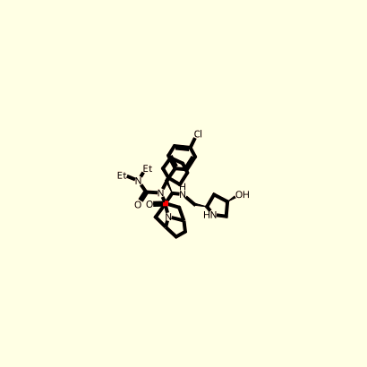 CCN(CC)C(=O)N(C1CCCCC1)C1CC2CCC(C1)N2C(=O)[C@@H](Cc1ccc(Cl)cc1)NC[C@H]1C[C@@H](O)CN1